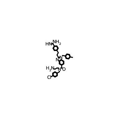 Cc1ccc(Cn2c(CCc3ccc(C(=N)N)cc3)nc3cc(C(=O)N(CCN)Cc4ccc(Cl)cc4)ccc32)cc1